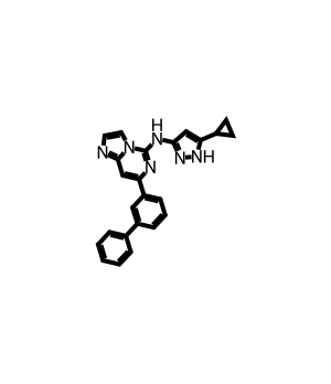 c1ccc(-c2cccc(-c3cc4nccn4c(Nc4cc(C5CC5)[nH]n4)n3)c2)cc1